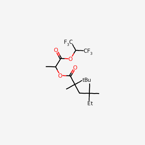 CCC(C)(C)CC(C)(C(=O)OC(C)C(=O)OC(C(F)(F)F)C(F)(F)F)C(C)(C)C